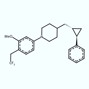 COc1cc(N2CCC(C[C@@H]3C[C@H]3c3ccccc3)CC2)ccc1CC(F)(F)F